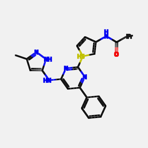 Cc1cc(Nc2cc(-c3ccccc3)nc([SH]3C=CC(NC(=O)C(C)C)=C3)n2)[nH]n1